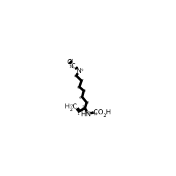 C=CC(CCCCCCN=C=O)NC(=O)O